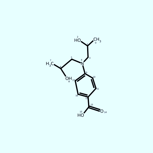 CC(O)CN(CC(C)O)c1ccc(C(=O)O)cc1